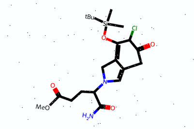 COC(=O)CCC(C(N)=O)N1C=C2CC(=O)C(Cl)C(O[Si](C)(C)C(C)(C)C)=C2C1